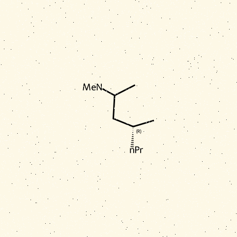 CCC[C@@H](C)CC(C)NC